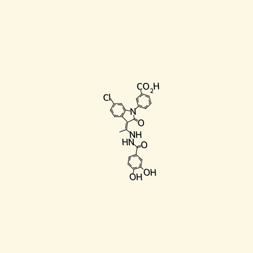 C/C(NNC(=O)c1ccc(O)c(O)c1)=C1/C(=O)N(c2cccc(C(=O)O)c2)c2cc(Cl)ccc21